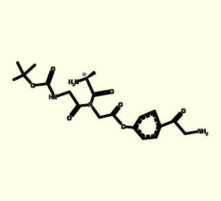 C[C@H](N)C(=O)N(CC(=O)Oc1ccc(C(=O)CN)cc1)C(=O)CNC(=O)OC(C)(C)C